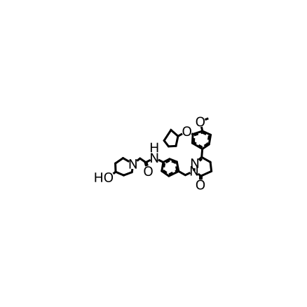 COc1ccc(C2=NN(Cc3ccc(NC(=O)CN4CCC(O)CC4)cc3)C(=O)CC2)cc1OC1CCCC1